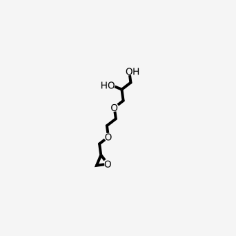 OCC(O)COCCOCC1CO1